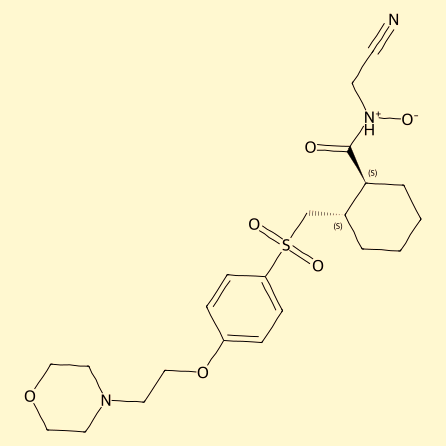 N#CC[NH+]([O-])C(=O)[C@H]1CCCC[C@@H]1CS(=O)(=O)c1ccc(OCCN2CCOCC2)cc1